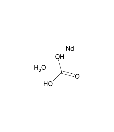 O.O=C(O)O.[Nd]